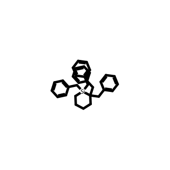 c1ccc(CC2(Cc3ccccc3)CCCC[Si]2(Cc2ccccc2)Cc2ccccc2)cc1